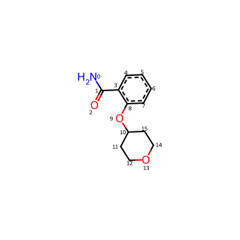 NC(=O)c1ccccc1OC1CCOCC1